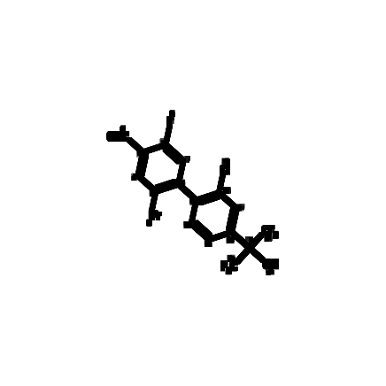 CC(C)c1cc(C=O)c(F)cc1-c1ccc(C(O)(C(F)(F)F)C(F)(F)F)cc1Cl